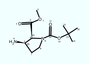 COC(=O)[C@@H]1[C@H](N)CCN1C(=O)OC(C)(C)C